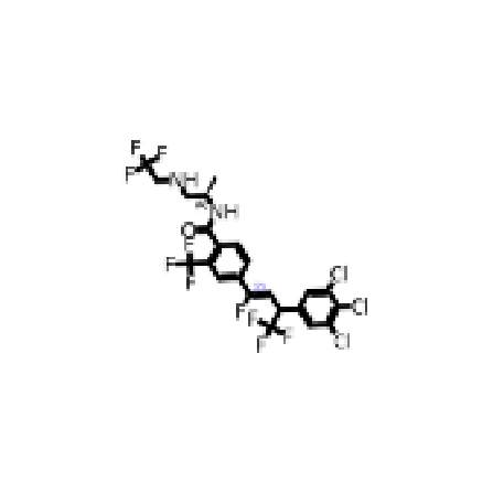 C[C@H](CNCC(F)(F)F)NC(=O)c1ccc(/C(F)=C/C(c2cc(Cl)c(Cl)c(Cl)c2)C(F)(F)F)cc1C(F)(F)F